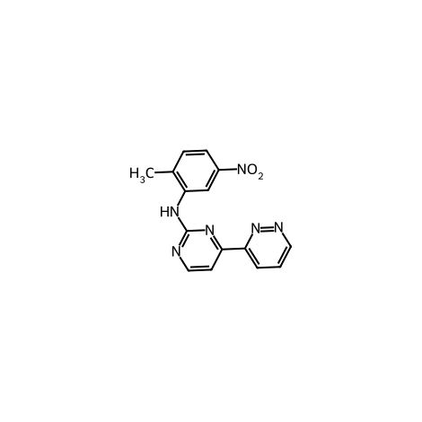 Cc1ccc([N+](=O)[O-])cc1Nc1nccc(-c2cccnn2)n1